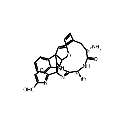 CC(C)[C@@H]1NC(=O)[C@@H](N)Cc2ccc3c(c2)C2(c4ccccc4NC2O3)c2oc1nc2-c1nc(C=O)co1